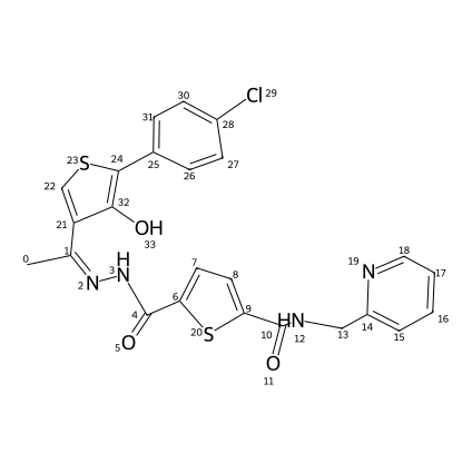 CC(=NNC(=O)c1ccc(C(=O)NCc2ccccn2)s1)c1csc(-c2ccc(Cl)cc2)c1O